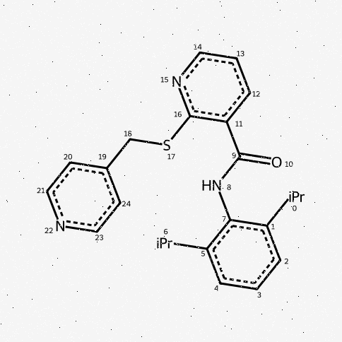 CC(C)c1cccc(C(C)C)c1NC(=O)c1cccnc1SCc1ccncc1